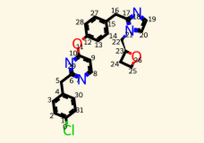 Clc1ccc(Cc2nccc(Oc3ccc(Cc4nccn4C[C@@H]4CCO4)cc3)n2)cc1